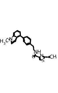 C#Cc1nc(C(=O)NCCc2ccc(-c3cccc4c3ccn4C)cc2)cs1